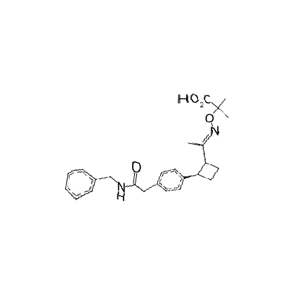 C/C(=N\OC(C)(C)C(=O)O)C1CC[C@H]1c1ccc(CC(=O)NCc2ccccc2)cc1